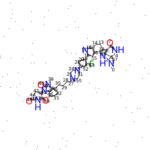 CN1CC2(CNC(=O)c3c2[nH]c2c3CCc3cnc(-c4ccc(N5CCN(CCCCc6cccc7c6n(C)c(=O)n7C6CCC(=O)NC6=O)CC5)cc4F)cc3-2)C1